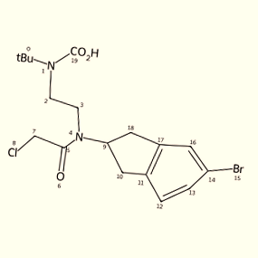 CC(C)(C)N(CCN(C(=O)CCl)C1Cc2ccc(Br)cc2C1)C(=O)O